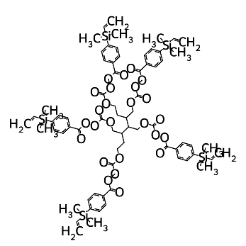 C=C[Si](C)(C)c1ccc(C(=O)OOC(=O)OCCC(COC(=O)OOC(=O)c2ccc([Si](C)(C)C=C)cc2)C(COC(=O)OOC(=O)c2ccc([Si](C)(C)C=C)cc2)C(CCOC(=O)OOC(=O)c2ccc([Si](C)(C)C=C)cc2)COC(=O)OOC(=O)c2ccc([Si](C)(C)C=C)cc2)cc1